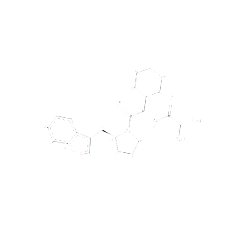 C[C@H](N)C(=O)N[C@H](C(=O)N1CCC[C@H]1Cc1coc2ccccc12)C1CCCCC1